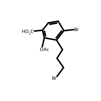 CC(=O)Oc1c(C(=O)O)ccc(Br)c1CCCBr